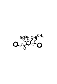 CCCCC(OC(/C=C(\CC[N+](=O)[O-])C(=O)OCc1ccccc1)C(O)CO)c1ccccc1